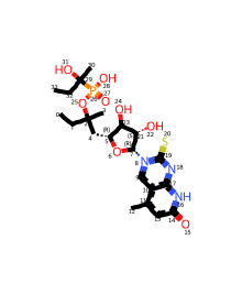 CCC(C)(C[C@H]1O[C@@H](n2cc3c(C)cc(=O)[nH]c3nc2=S)[C@@H](O)C1O)OP(=O)(O)C(C)(O)CC